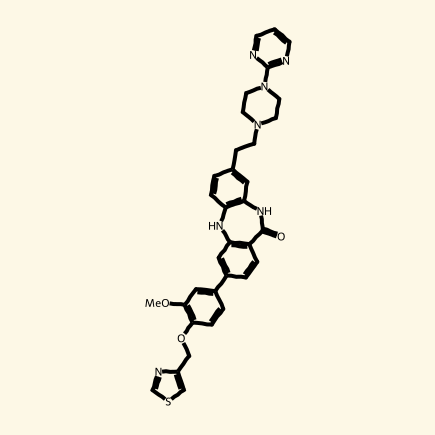 COc1cc(-c2ccc3c(c2)Nc2ccc(CCN4CCN(c5ncccn5)CC4)cc2NC3=O)ccc1OCc1cscn1